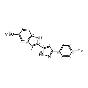 COc1ccc2[nH]c(-c3cc(-c4ccc(F)cc4)n[nH]3)nc2c1